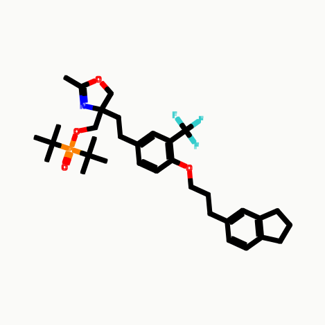 CC1=NC(CCc2ccc(OCCCc3ccc4c(c3)CCC4)c(C(F)(F)F)c2)(COP(=O)(C(C)(C)C)C(C)(C)C)CO1